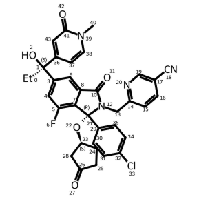 CC[C@@](O)(c1cc(F)c2c(c1)C(=O)N(Cc1ccc(C#N)cn1)[C@@]2(O[C@H]1CCC(=O)C1)c1ccc(Cl)cc1)c1ccn(C)c(=O)c1